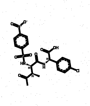 CC(=O)[C@H](C)[C@H](NS(=O)(=O)c1ccc([N+](=O)[O-])cc1)C(=O)N[C@H](C(=O)O)c1ccc(Cl)cc1